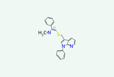 C=N/C(=C\SCc1cn(-c2ccccc2)c2ncccc12)c1ccccc1